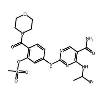 CC(C)C(C)Nc1nc(Nc2ccc(C(=O)N3CCOCC3)c(OS(C)(=O)=O)c2)ncc1C(N)=O